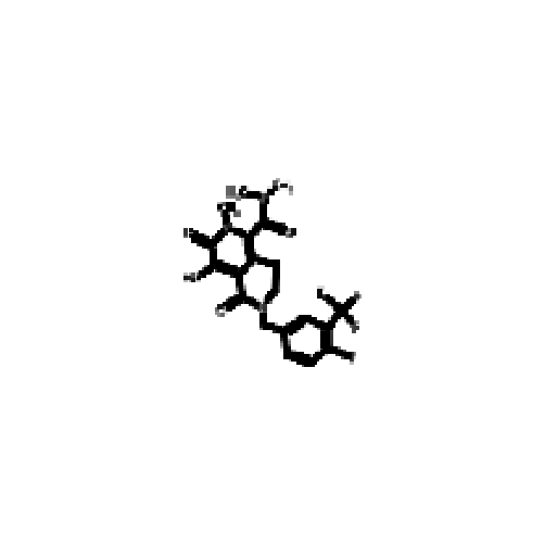 CN(C)C(=O)c1c2c(c(O)c(=O)n1C)C(=O)N(Cc1ccc(F)c(C(F)(F)F)c1)CC2